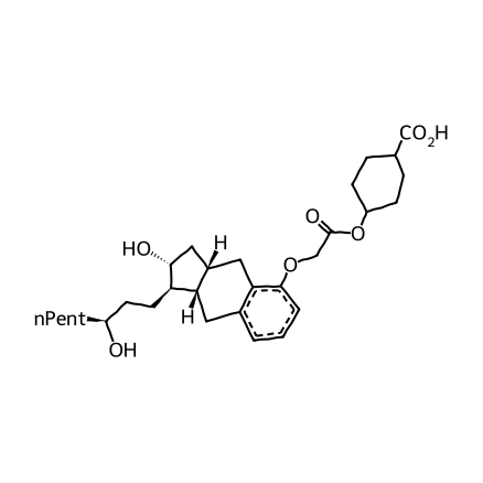 CCCCC[C@H](O)CC[C@@H]1[C@H]2Cc3cccc(OCC(=O)OC4CCC(C(=O)O)CC4)c3C[C@H]2C[C@H]1O